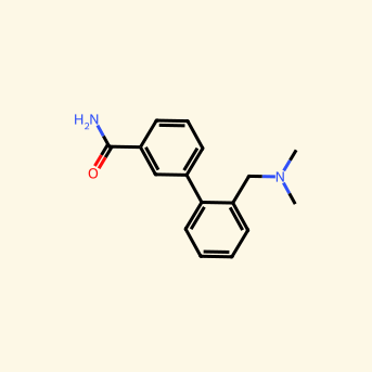 CN(C)Cc1ccccc1-c1cccc(C(N)=O)c1